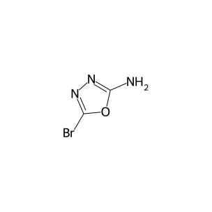 Nc1nnc(Br)o1